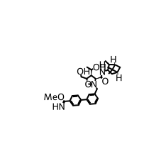 COC(=N)c1ccc(-c2cccc(CN3OC(CO)[C@@H](C(C)O)[C@H]3C(=O)NC3C[C@@H]4C[C@H](C3C)C4(C)C)c2)cc1